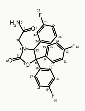 NC(=O)CN1C(=O)OC(c2ccc(F)cc2)(c2ccc(F)cc2)C1c1cccc(F)c1